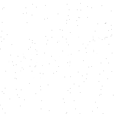 C=C(NO)c1ccc(Oc2cc(N(C)c3nc(C)nc4ccccc34)ccc2OC)cc1